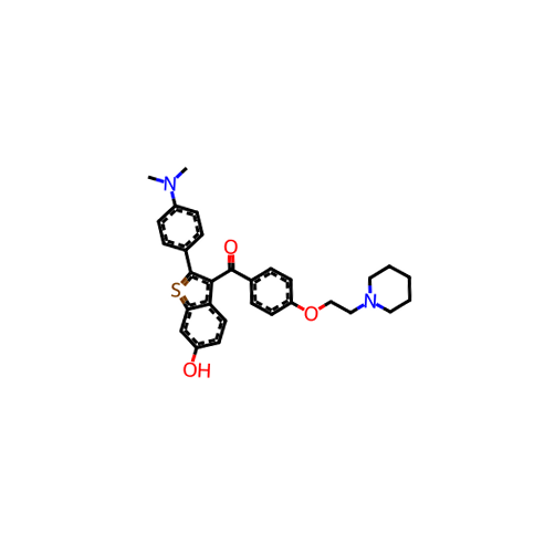 CN(C)c1ccc(-c2sc3cc(O)ccc3c2C(=O)c2ccc(OCCN3CCCCC3)cc2)cc1